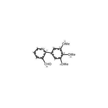 COc1cc(-c2ncccc2C=O)cc(OC)c1OC